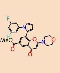 COC(=O)c1cc(-c2cccn2-c2cc(F)cc(F)c2)c2oc(N3CCOCC3)cc(=O)c2c1